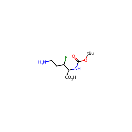 CC(C)(C)OC(=O)N[C@@H](C(=O)O)C(F)CCN